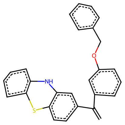 C=C(c1cccc(OCc2ccccc2)c1)c1ccc2c(c1)Nc1ccccc1S2